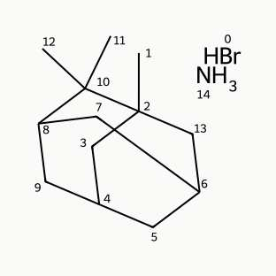 Br.CC12CC3CC(CC(C3)C1(C)C)C2.N